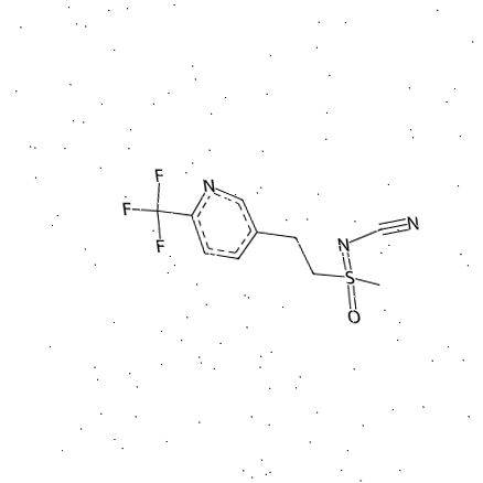 CS(=O)(CCc1ccc(C(F)(F)F)nc1)=NC#N